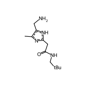 Cc1nc(CC(=O)NCC(C)(C)C)[nH]c1CN